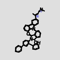 C/N=C\C=C(/C)c1ccc2c(c1)c1ccccc1n2-c1cccc2c1C(=O)N(c1ccc(-c3ccccc3)cc1-c1ccccc1)C2O